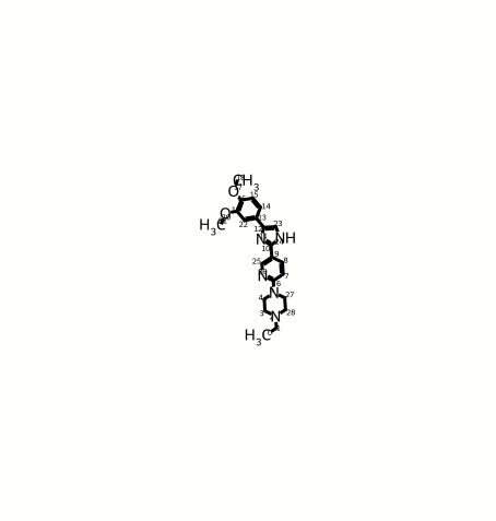 CCN1CCN(c2ccc(-c3nc(-c4ccc(OC)c(OC)c4)c[nH]3)cn2)CC1